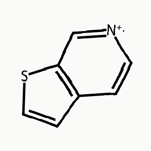 C1=Cc2ccsc2C=[N+]1